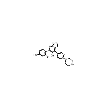 N#Cc1c(-c2ccc(O)cc2F)nc2[nH]ncc2c1-c1ccc(N2CCNCC2)cc1